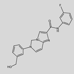 O=C(Nc1cccc(F)c1)C1=C[N+]2CN(c3cccc(CO)c3)C=CC2=N1